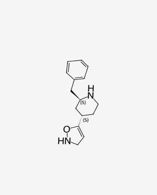 C1=C([C@H]2CCN[C@H](Cc3ccccc3)C2)ONC1